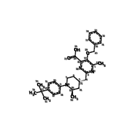 Cc1nc(C[C@H]2CCN(c3ccc(C(C)(C)C)cc3)[C@H](C)C2)nc(C(=O)O)c1OCc1ccccc1